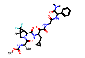 CN(C)C(=O)C(NC(=O)CNC(=O)C(=O)C(CC1CC1)NC(=O)[C@@H]1C2[C@H](CN1C(=O)[C@@H](NC(=O)OC(C)(C)C)C(C)(C)C)C2(F)F)c1ccccc1